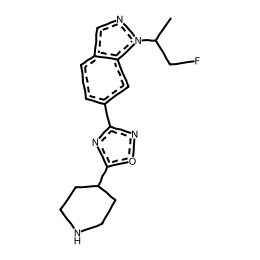 CC(CF)n1ncc2ccc(-c3noc(C4CCNCC4)n3)cc21